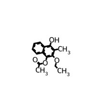 CCOc1c(C)c(O)c2ccccc2c1OC(C)=O